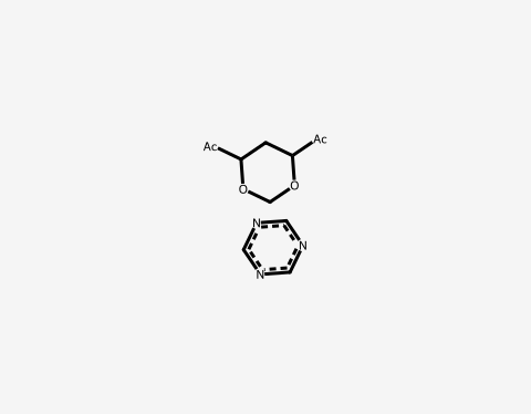 CC(=O)C1CC(C(C)=O)OCO1.c1ncncn1